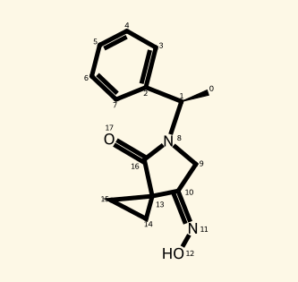 C[C@H](c1ccccc1)N1C/C(=N/O)C2(CC2)C1=O